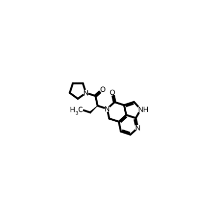 CC[C@@H](C(=O)N1CCCC1)N1Cc2ccnc3[nH]cc(c23)C1=O